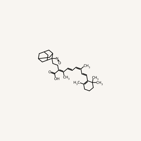 CC(C=CC1=C(C)CCCC1(C)C)=CC=CC(C)=C(CCC1(N=O)C2CC3CC(C2)CC1C3)C(=O)O